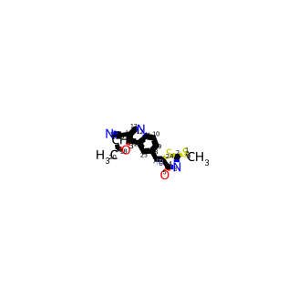 CSC1=NC(=O)/C(=C/c2ccc3ncc(C#N)c(OC(C)C)c3c2)S1